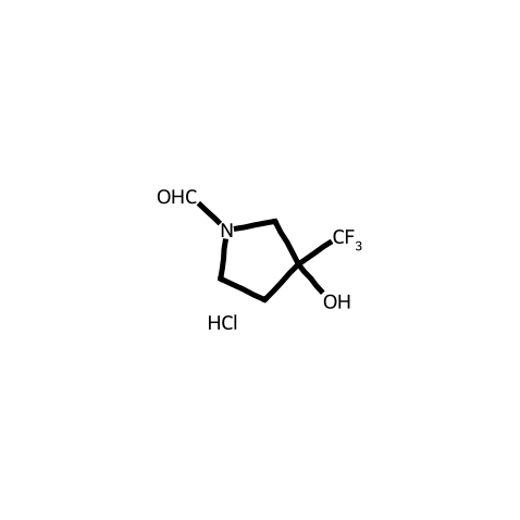 Cl.O=CN1CCC(O)(C(F)(F)F)C1